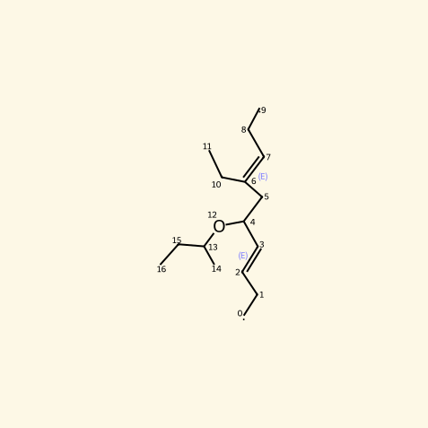 [CH2]C/C=C/C(C/C(=C/C[CH2])CC)OC(C)CC